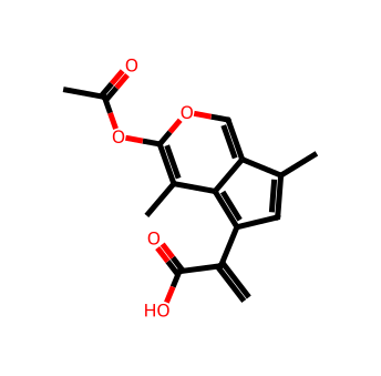 C=C(C(=O)O)c1cc(C)c2coc(OC(C)=O)c(C)c1-2